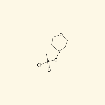 CP(=O)(Cl)ON1CCOCC1